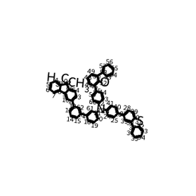 CC1(C)c2ccccc2-c2cc(-c3cccc(-c4cccc(N(c5ccc(-c6ccc7sc8ccccc8c7c6)cc5)c5ccc(-c6cccc7c6oc6ccccc67)cc5)c4)c3)ccc21